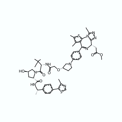 COC(=O)C[C@@H]1N=C(c2ccc(N3CC[C@H](OCC(=O)N[C@H](C(=O)N4C[C@H](O)C[C@H]4C(=O)N[C@@H](C)c4ccc(-c5scnc5C)cc4)C(C)(C)C)C3)cc2)c2c(sc(C)c2C)-n2c(C)nnc21